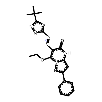 CCOc1c(/N=N/c2nnc(C(C)(C)C)s2)c(=O)[nH]c2cc(-c3ccccc3)nn12